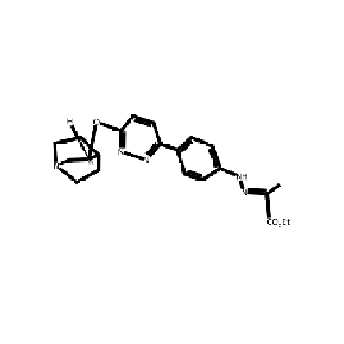 CCOC(=O)C(C)=NNc1ccc(-c2ccc(O[C@H]3CN4CCC3CC4)nn2)cc1